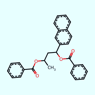 CC(CC(OC(=O)c1ccccc1)c1ccc2ccccc2c1)OC(=O)c1ccccc1